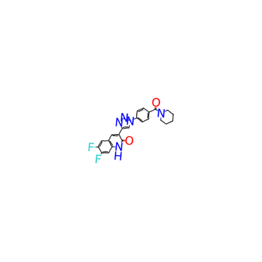 O=C(c1ccc(-n2cc(-c3cc4cc(F)c(F)cc4[nH]c3=O)nn2)cc1)N1CCCCC1